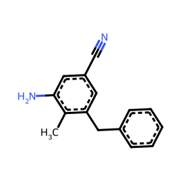 Cc1c(N)cc(C#N)cc1Cc1ccccc1